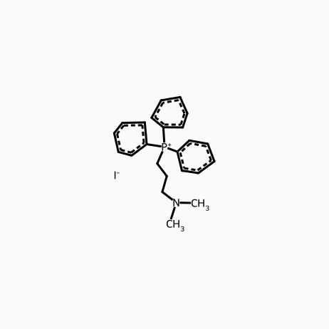 CN(C)CCC[P+](c1ccccc1)(c1ccccc1)c1ccccc1.[I-]